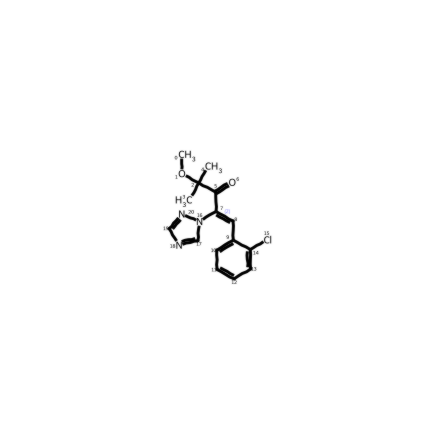 COC(C)(C)C(=O)/C(=C/c1ccccc1Cl)n1cncn1